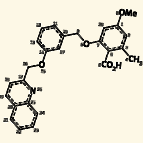 COc1cc(C)c(C(=O)O)c(OCc2cccc(OCc3ccc4ccccc4n3)c2)c1